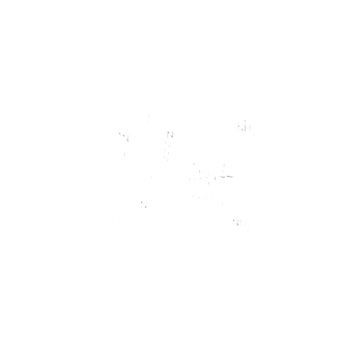 NC1C=C2CC(N)C1CO2.O=Nc1cncnc1